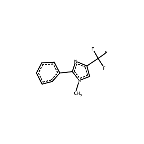 Cn1cc(C(F)(F)F)nc1-c1ccccc1